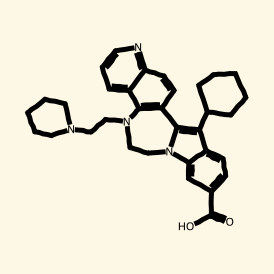 O=C(O)c1ccc2c(C3CCCCC3)c3n(c2c1)CCN(CCN1CCCCC1)c1c-3ccc2ncccc12